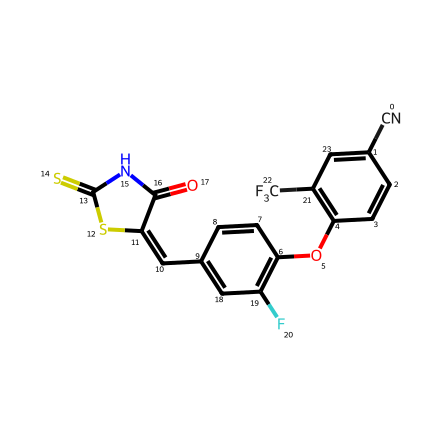 N#Cc1ccc(Oc2ccc(C=C3SC(=S)NC3=O)cc2F)c(C(F)(F)F)c1